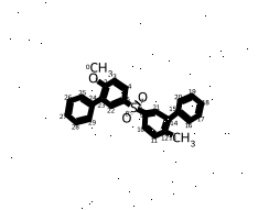 COc1ccc(S(=O)(=O)c2ccc(C)c(-c3ccccc3)c2)cc1-c1ccccc1